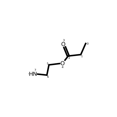 CCC(=O)OCC[NH]